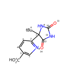 CC(C)(C)C1(c2ccc(C(=O)O)cn2)NC(=O)NC1=O